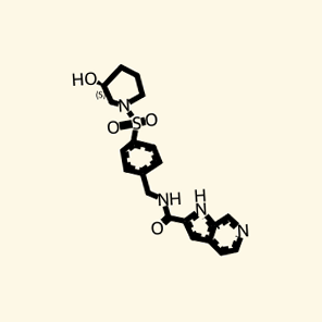 O=C(NCc1ccc(S(=O)(=O)N2CCC[C@H](O)C2)cc1)c1cc2ccncc2[nH]1